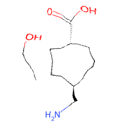 CCO.NC[C@H]1CC[C@H](C(=O)O)CC1